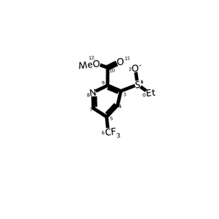 CC[S+]([O-])c1cc(C(F)(F)F)cnc1C(=O)OC